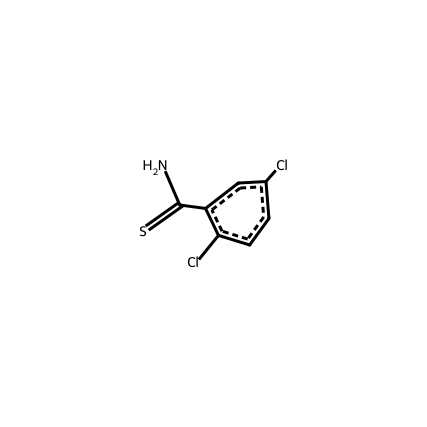 NC(=S)c1cc(Cl)ccc1Cl